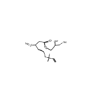 C=CC(C)(C)CCCC(CC(=O)OCC(O)CO)C(=O)O